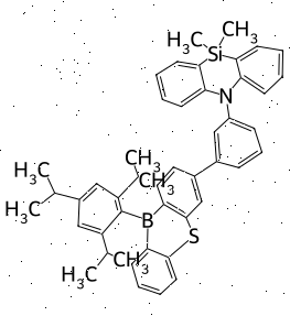 CC(C)c1cc(C(C)C)c(B2c3ccccc3Sc3cc(-c4cccc(N5c6ccccc6[Si](C)(C)c6ccccc65)c4)ccc32)c(C(C)C)c1